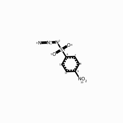 [N-]=[N+]=NS(=O)(=O)c1ccc([N+](=O)[O-])cc1